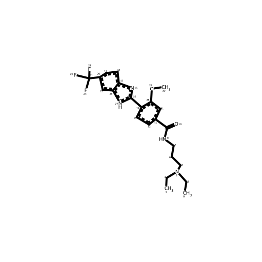 CCN(CC)CCCNC(=O)c1ccc(-c2nc3ccc(C(F)(F)F)cc3[nH]2)c(OC)c1